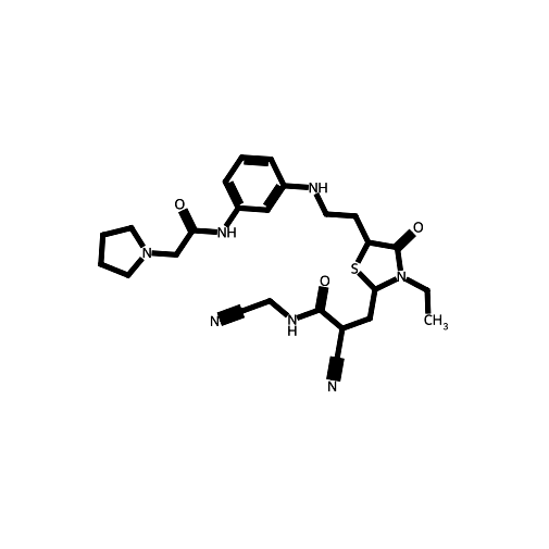 CCN1C(=O)C(CCNc2cccc(NC(=O)CN3CCCC3)c2)SC1CC(C#N)C(=O)NCC#N